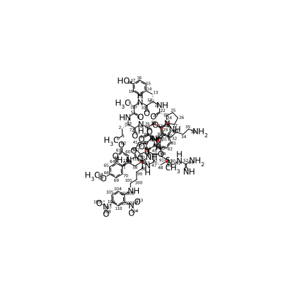 CCC[C@H](NC(=O)[C@H](C)NC(=O)[C@H](Cc1ccc(O)cc1)NC(=O)[C@@H]1CCCN1C(=O)C(CCCCN)NC(=O)[C@@H]1CCCN1C(=O)[C@H](CCCNC(=N)N)NC(=O)Cc1cc(=O)oc2cc(OC)ccc12)C(=O)N[C@@H](Cc1c[nH]c2ccccc12)C(=O)N[C@@H](CCSC)C(=O)N[C@@H](CCCCNc1ccc([N+](=O)[O-])cc1[N+](=O)[O-])C(N)=O